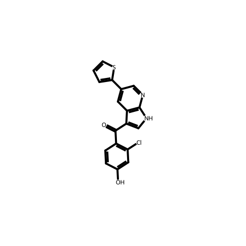 O=C(c1ccc(O)cc1Cl)c1c[nH]c2ncc(-c3cccs3)cc12